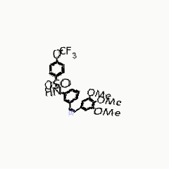 COc1cc(/C=C\c2cccc(NS(=O)(=O)c3ccc(OC(F)(F)F)cc3)c2)cc(OC)c1OC